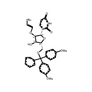 CCCCC=CO[C@@H]1[C@H](O)[C@@H](COC(c2ccccc2)(c2ccc(OC)cc2)c2ccc(OC)cc2)O[C@H]1n1ccc(=O)[nH]c1=O